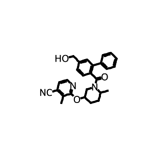 Cc1c(C#N)ccnc1OC1CCC(C)N(C(=O)c2ccc(CO)cc2-c2ccccc2)C1